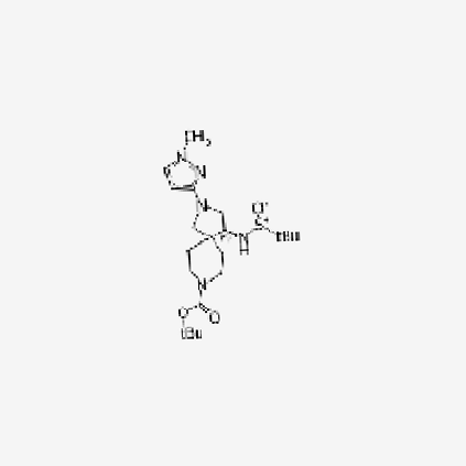 Cn1ccc(N2C[C@@H](N[S+]([O-])C(C)(C)C)C3(CCN(C(=O)OC(C)(C)C)CC3)C2)n1